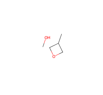 CC1COC1.CO